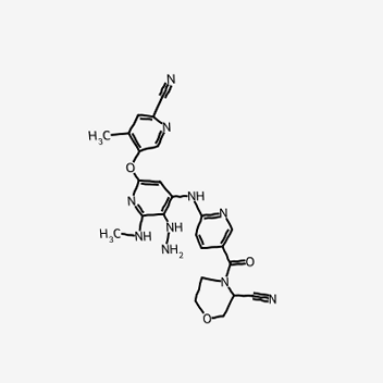 CNc1nc(Oc2cnc(C#N)cc2C)cc(Nc2ccc(C(=O)N3CCOCC3C#N)cn2)c1NN